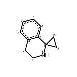 [c]1ccc2c(c1)CCNC21CC1